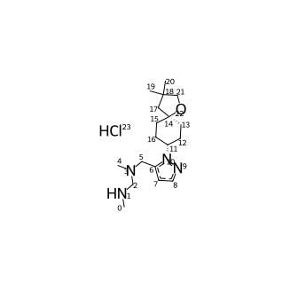 CNCN(C)Cc1ccnn1[C@H]1CC[C@]2(CC1)CC(C)(C)CO2.Cl